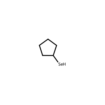 [SeH]C1CCCC1